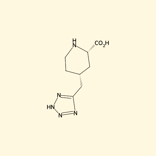 O=C(O)[C@@H]1C[C@H](Cc2nn[nH]n2)CCN1